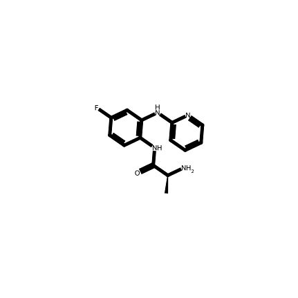 C[C@H](N)C(=O)Nc1ccc(F)cc1Nc1ccccn1